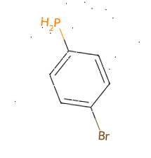 Pc1ccc(Br)cc1